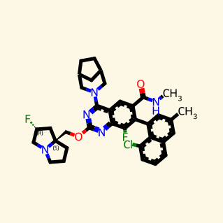 CNC(=O)c1cc2c(N3CC4CCC(C4)C3)nc(OC[C@@]34CCCN3C[C@H](F)C4)nc2c(F)c1-c1cc(C)cc2cccc(Cl)c12